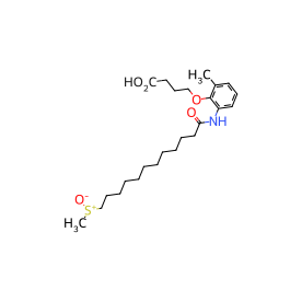 Cc1cccc(NC(=O)CCCCCCCCCCC[S+](C)[O-])c1OCCCC(=O)O